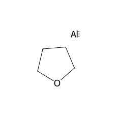 C1CCOC1.[Al]